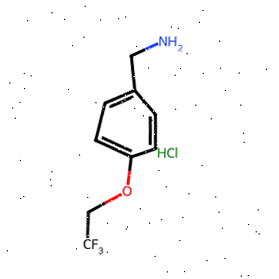 Cl.NCc1ccc(OCC(F)(F)F)cc1